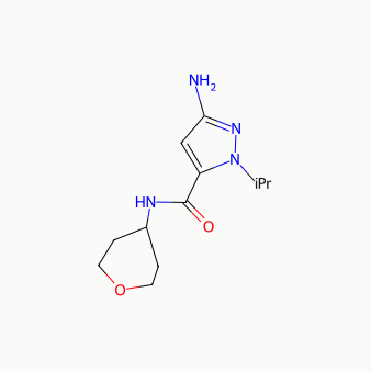 CC(C)n1nc(N)cc1C(=O)NC1CCOCC1